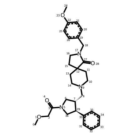 COCC(=O)N1C[C@H](CN2CCC3(CC2)CCN(Cc2ccc(OC)cc2)C3=O)[C@@H](c2ccccc2)C1